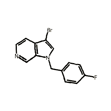 Fc1ccc(Cn2cc(Br)c3ccncc32)cc1